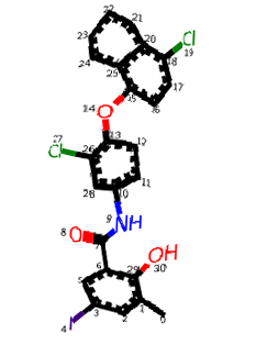 Cc1cc(I)cc(C(=O)Nc2ccc(Oc3ccc(Cl)c4ccccc34)c(Cl)c2)c1O